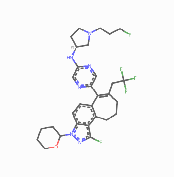 FCCCN1CC[C@H](Nc2cnc(C3=C(CC(F)(F)F)CCCc4c3ccc3c4c(F)nn3C3CCCCO3)cn2)C1